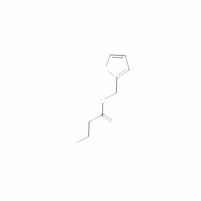 O=C(CCCl)NCc1ccco1